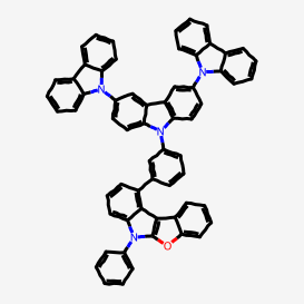 c1ccc(-n2c3cccc(-c4cccc(-n5c6ccc(-n7c8ccccc8c8ccccc87)cc6c6cc(-n7c8ccccc8c8ccccc87)ccc65)c4)c3c3c4ccccc4oc32)cc1